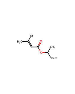 CCCC(C)C(C)OC(=O)/C=C(/C)CC